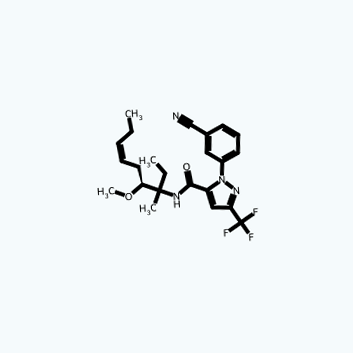 CC/C=C\C[C@H](OC)C(C)(CC)NC(=O)c1cc(C(F)(F)F)nn1-c1cccc(C#N)c1